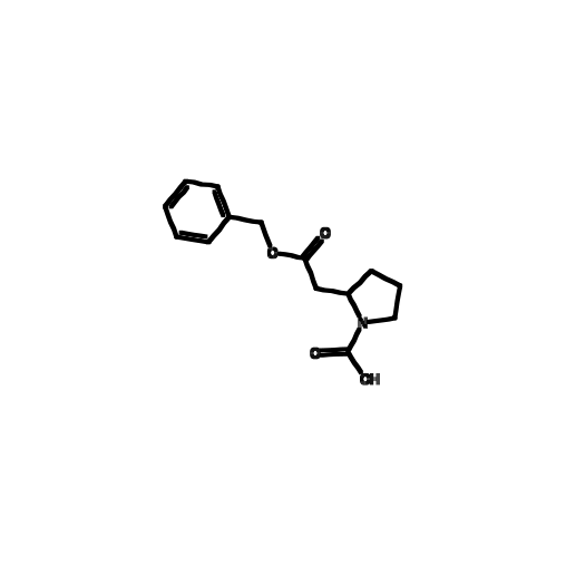 O=C(CC1CCCN1C(=O)O)OCc1ccccc1